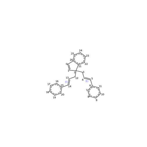 C1=CC(C/C=C/c2ccccc2)(C/C=C/c2ccccc2)c2ccccc21